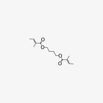 C/C=C(\C)C(=O)OCCCCOC(=O)/C(C)=C/C